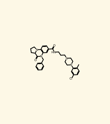 Cc1ccc(Cl)cc1N1CCN(CCCNC(=O)c2ccc3c(c2)N(Cc2ccccc2)C(=O)C2CCCN32)CC1